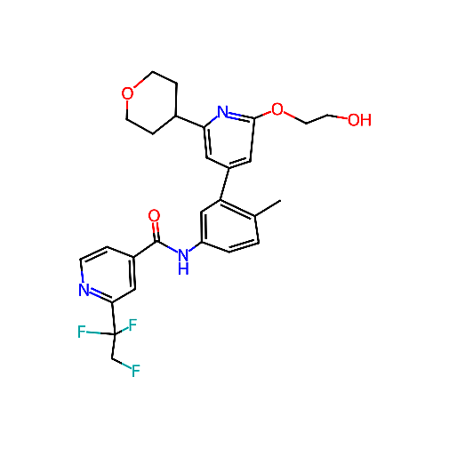 Cc1ccc(NC(=O)c2ccnc(C(F)(F)CF)c2)cc1-c1cc(OCCO)nc(C2CCOCC2)c1